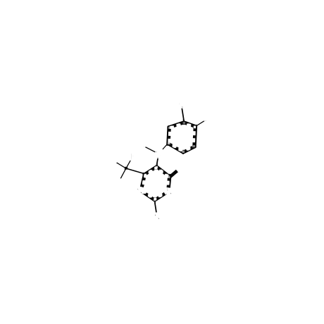 Nc1nc(C(F)(F)F)c([S+]([O-])c2ccc(Cl)c(Cl)c2)c(=O)[nH]1